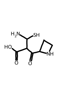 NC(S)C(C(=O)O)C(=O)C1CCN1